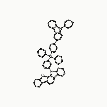 c1ccc(-n2c3ccccc3c3cc(-c4ccc([Si](c5ccccc5)(c5ccccc5)c5cccc(-n6c7ccccc7c7ccc8c9ccccc9oc8c76)c5)cc4)ccc32)cc1